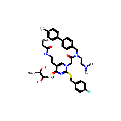 CCN(CC)CCN(Cc1ccc(-c2ccc(C(F)(F)F)cc2)cc1)C(=O)Cn1cc(CCNC(=O)COC)c(=O)nc1SCc1ccc(F)cc1.O=C(O)C(O)C(O)C(=O)O